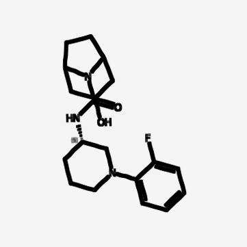 O=C(N[C@H]1CCCN(c2ccccc2F)C1)N1C2CCC1CC(O)C2